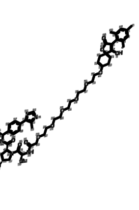 Cc1cc(C)c(C2=C(O)C3(CCC(OCCOCCOCCOCCOCCOCC(=O)N[C@H](C(=O)N4C[C@H](O)C[C@H]4C(=O)N[C@@H](C)c4ccc(-c5scnc5C)cc4)C(C)(C)C)CC3)OC2=O)c(C)c1